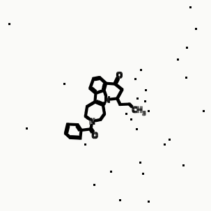 CCCC1CC(=O)c2cccc3c4c(n1c23)CCN(C(=O)c1ccccc1)CC4